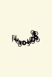 COc1ccc(OS(C)(=O)=O)c2c1COC(c1csc(C3CCN(C(=O)CON=CC(F)(F)F)CC3)n1)OC2